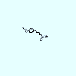 CCCOc1ccc(CCCCCC(=O)O)cc1